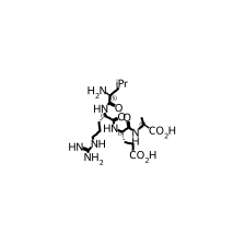 CC(C)C[C@H](N)C(=O)N[C@@H](CCCNC(=N)N)C(=O)N[C@@H](CCC(=O)O)C(=O)N[C@@H](C)C(=O)O